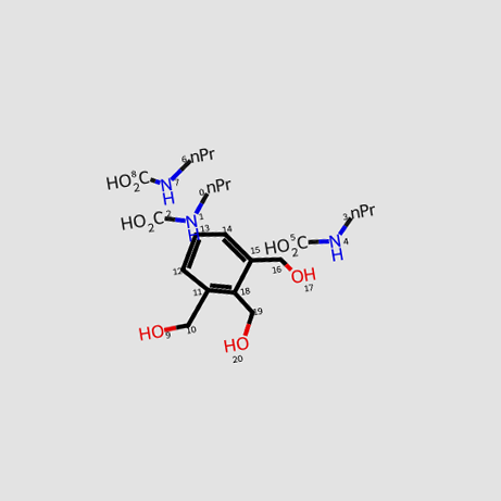 CCCNC(=O)O.CCCNC(=O)O.CCCNC(=O)O.OCc1cccc(CO)c1CO